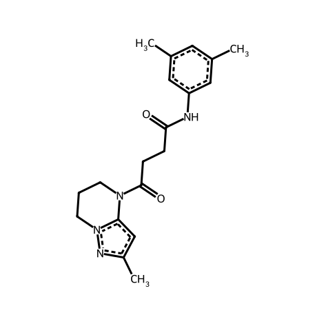 Cc1cc(C)cc(NC(=O)CCC(=O)N2CCCn3nc(C)cc32)c1